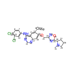 COc1cc2c(Nc3ccc(Cl)c(Cl)c3)ncnc2cc1OCc1noc(C2CCCN2C)n1